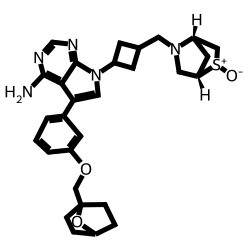 Nc1ncnc2c1c(-c1cccc(OCC34CCC(CC3)O4)c1)cn2C1CC(CN2C[C@@H]3C[C@H]2C[S+]3[O-])C1